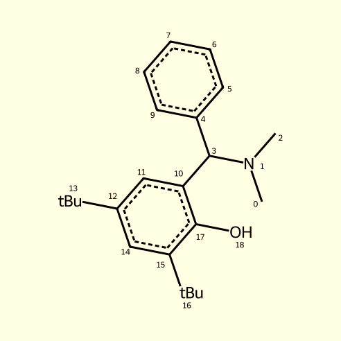 CN(C)C(c1ccccc1)c1cc(C(C)(C)C)cc(C(C)(C)C)c1O